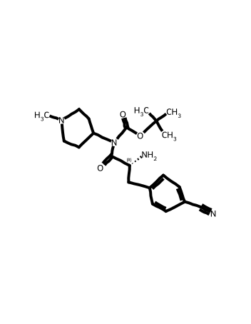 CN1CCC(N(C(=O)OC(C)(C)C)C(=O)[C@H](N)Cc2ccc(C#N)cc2)CC1